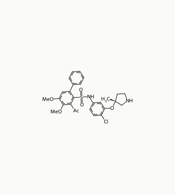 COc1cc(-c2ccccc2)c(S(=O)(=O)Nc2ccc(Cl)c(O[C@]3(C)CCNC3)c2)c(C(C)=O)c1OC